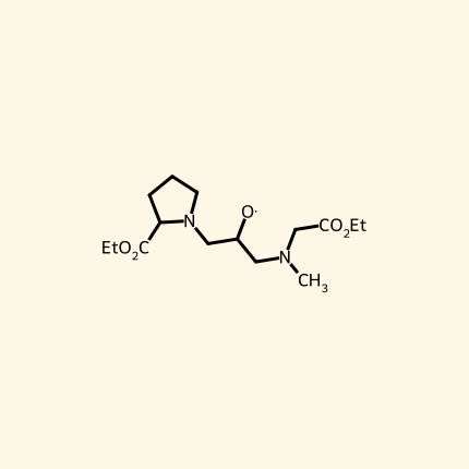 CCOC(=O)CN(C)CC([O])CN1CCCC1C(=O)OCC